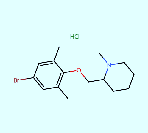 Cc1cc(Br)cc(C)c1OCC1CCCCN1C.Cl